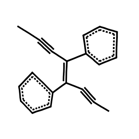 CC#CC(=C(C#CC)c1ccccc1)c1ccccc1